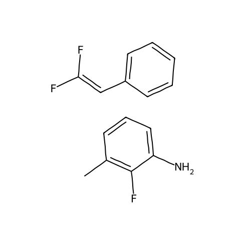 Cc1cccc(N)c1F.FC(F)=Cc1ccccc1